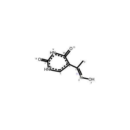 C/C(=N\O)c1c[nH]c(=O)[nH]c1=O